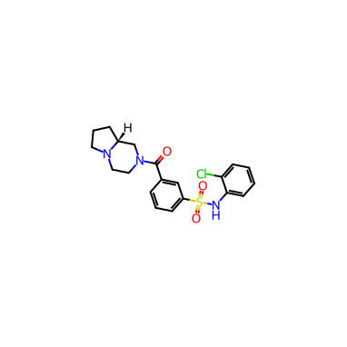 O=C(c1cccc(S(=O)(=O)Nc2ccccc2Cl)c1)N1CCN2CCC[C@@H]2C1